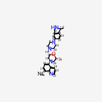 CC1NCc2cc(N3CCN(C[C@H]4CN(c5ccc(C#N)c6ncccc56)C[C@@H](C)O4)CC3)ccc21